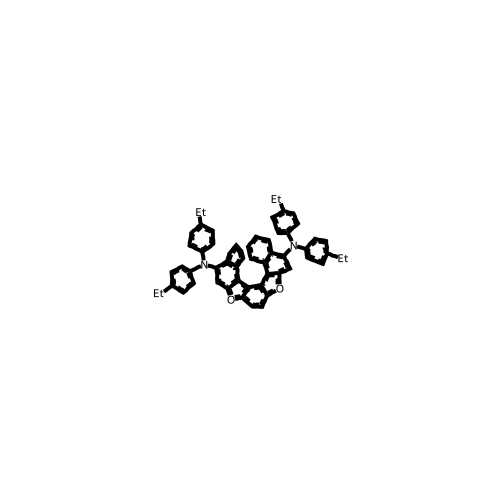 CCc1ccc(N(c2ccc(CC)cc2)c2cc3oc4ccc5oc6cc(N(c7ccc(CC)cc7)c7ccc(CC)cc7)c7ccccc7c6c5c4c3c3ccccc23)cc1